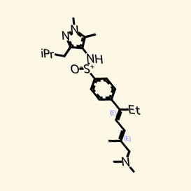 CC/C(=C\C=C(/C)CN(C)C)c1ccc([S+]([O-])Nc2c(CC(C)C)nn(C)c2C)cc1